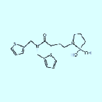 O=C(CCCN1CCCS1(O)O)N(Cc1cccs1)Cc1cccs1